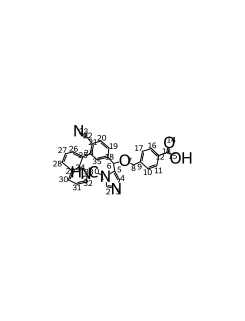 Cn1cncc1C(OCc1ccc(C(=O)O)cc1)c1ccc(C#N)c(-c2cccc3cccnc23)c1